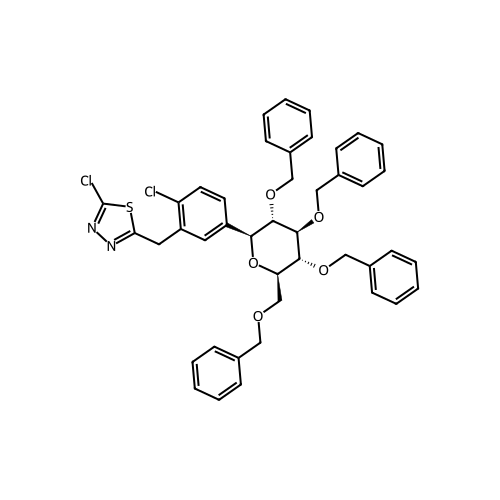 Clc1nnc(Cc2cc([C@@H]3O[C@H](COCc4ccccc4)[C@@H](OCc4ccccc4)[C@H](OCc4ccccc4)[C@H]3OCc3ccccc3)ccc2Cl)s1